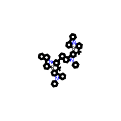 CC1(C)c2cc3c(cc2B2c4c(cccc41)-n1c4ccccc4c4cccc2c41)c1c2cccc(-c4cc5c6c(c4)C(C)(C)c4c(ccc7c4c4ccccc4n7-c4ccccc4)B6c4cccc6c7c8ccccc8ccc7n-5c46)c2ccc1n3-c1ccccc1